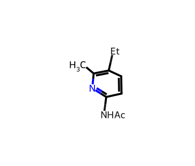 CCc1ccc(NC(C)=O)nc1C